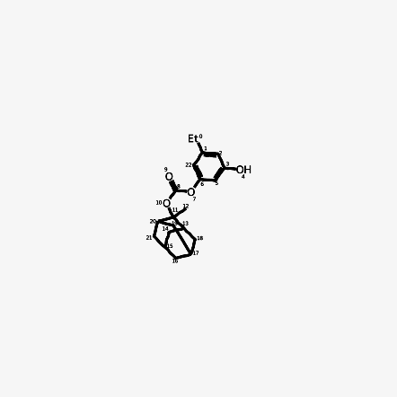 CCc1cc(O)cc(OC(=O)OC2(C)C3CC4CC(C3)CC2C4)c1